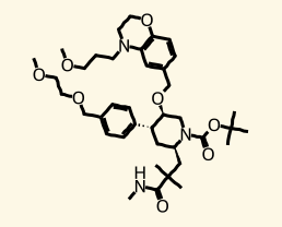 CNC(=O)C(C)(C)C[C@H]1C[C@H](c2ccc(COCCOC)cc2)[C@@H](OCc2ccc3c(c2)N(CCCOC)CCO3)CN1C(=O)OC(C)(C)C